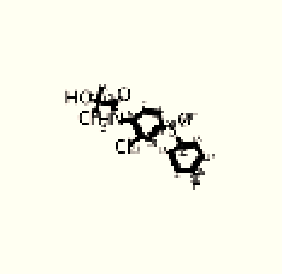 C[C@@](O)(C(=O)Nc1ccc([S+]([O-])c2ccc(F)cc2)cc1Cl)C(F)(F)F